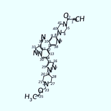 C#CC(=O)N1CCN(c2ccc(-c3cc(-c4cnn(C5CCN(COCC)CC5)c4)cn4ncc(C#N)c34)cn2)CC1